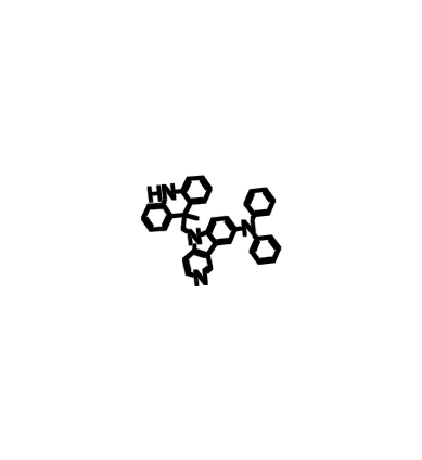 CC1(Cn2c3ccncc3c3cc(N(c4ccccc4)c4ccccc4)ccc32)c2ccccc2Nc2ccccc21